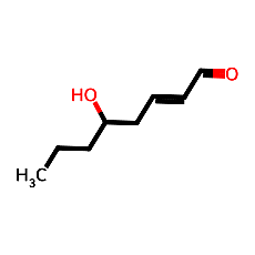 CCCC(O)C/C=C/C=O